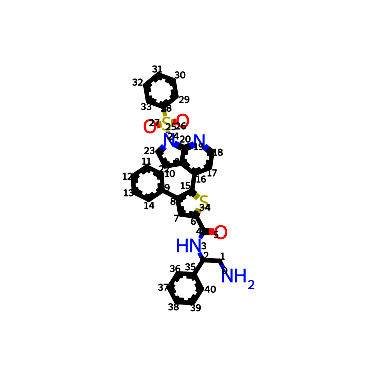 NCC(NC(=O)c1cc(-c2ccccc2)c(-c2ccnc3c2ccn3S(=O)(=O)c2ccccc2)s1)c1ccccc1